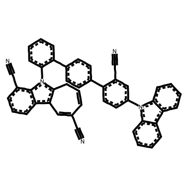 N#CC1=Cc2c(n(-c3ccccc3-c3ccc(-c4ccc(-n5c6ccccc6c6ccccc65)cc4C#N)cc3)c3c(C#N)cccc23)CC=C1